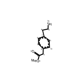 COC(=O)Cc1ccc(CCS)cc1